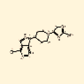 CC(C)c1noc(N2CCC(n3ncc4c(Cl)ncnc43)CC2)n1